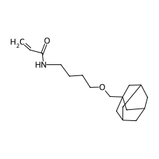 C=CC(=O)NCCCCOCC12CC3CC(CC(C3)C1)C2